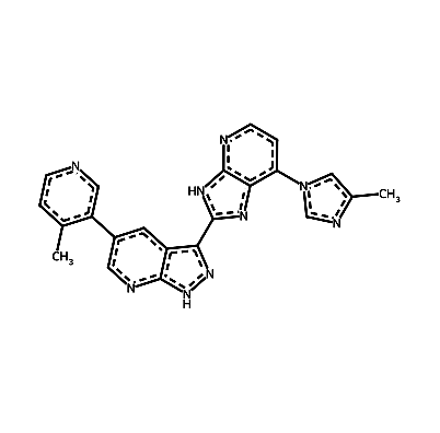 Cc1cn(-c2ccnc3[nH]c(-c4n[nH]c5ncc(-c6cnccc6C)cc45)nc23)cn1